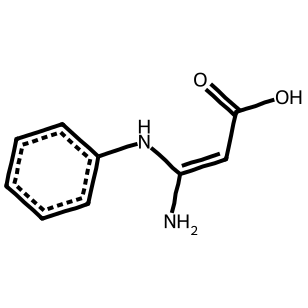 N/C(=C/C(=O)O)Nc1ccccc1